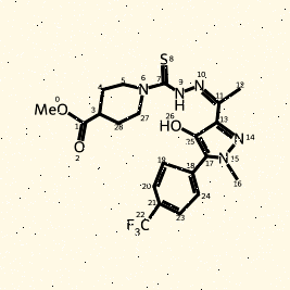 COC(=O)C1CCN(C(=S)NN=C(C)c2nn(C)c(-c3ccc(C(F)(F)F)cc3)c2O)CC1